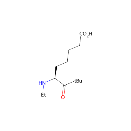 CCN[C@@H](CCCCC(=O)O)C(=O)C(C)(C)C